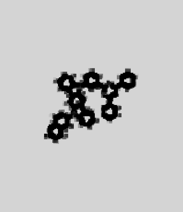 c1ccc(-c2cc(-c3ccccc3)nc(-c3cccc(-n4c5ccccc5c5cc6c(cc54)c4ccccc4n6-c4ccc5ccccc5c4)c3)n2)cc1